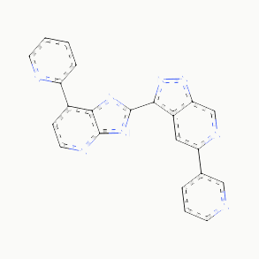 c1ccc(-c2ccnc3[nH]c(-c4n[nH]c5cnc(-c6cccnc6)cc45)nc23)nc1